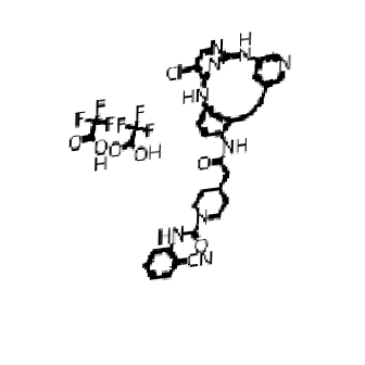 N#Cc1ccccc1NC(=O)N1CCC(CC(=O)Nc2ccc3cc2CCc2cncc(c2)Nc2ncc(Cl)c(n2)N3)CC1.O=C(O)C(F)(F)F.O=C(O)C(F)(F)F